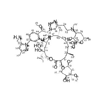 CC[C@H]1OC(=O)[C@H](C)[C@@H](O[C@H]2C[C@@](C)(OC)[C@@H](O)[C@H](C)O2)[C@H](C)[C@@H](O[C@@H]2O[C@H](C)C[C@H](N(C)CCc3cn([C@H](CF)[C@H](OC)c4ccc(-n5nc(C)cc5N)cc4)nn3)[C@H]2O)[C@](C)(O)C[C@@H](C)CN(C)[C@H](C)[C@@H](O)[C@]1(C)O